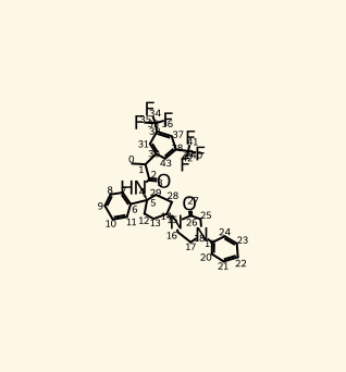 CC(C(=O)N[C@]1(c2ccccc2)CC[C@@H](N2CCN(c3ccccc3)CC2=O)CC1)c1cc(C(F)(F)F)cc(C(F)(F)F)c1